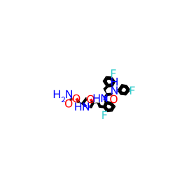 NC(=O)OC[C@@H]1CO[C@H](CCc2c(F)cccc2N[C@@H](Cc2ccc(F)cc2)C(=O)Nc2ccc(F)cc2)CN1